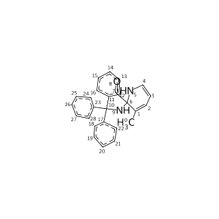 CC1=CC=CNC1(C=O)NC(c1ccccc1)(c1ccccc1)c1ccccc1